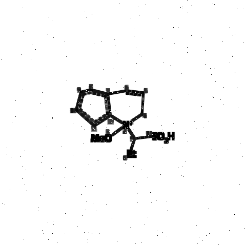 CCC([N+]1(OC)CC=Cc2ccccc21)S(=O)(=O)O